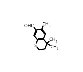 Cc1cc2c(cc1C=O)SCCC2(C)C